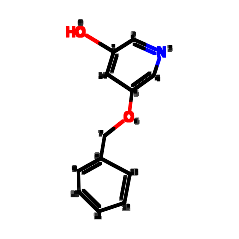 Oc1cncc(OCc2ccccc2)c1